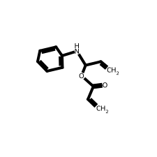 C=CC(=O)OC(C=C)Nc1ccccc1